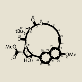 COC(=O)[C@@H]1C[C@]2(O)CN1C(=O)[C@H](C(C)(C)C)NC(=O)OCCC/C=C\c1cc3cc2ccc3cc1OC